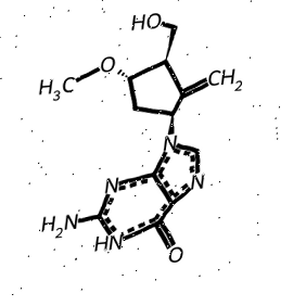 C=C1[C@H](CO)[C@@H](OC)C[C@@H]1n1cnc2c(=O)[nH]c(N)nc21